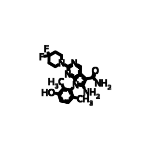 Cc1ccc(O)c(C)c1-n1c(N)c(C(N)=O)c2cnc(N3CCC(F)(F)CC3)nc21